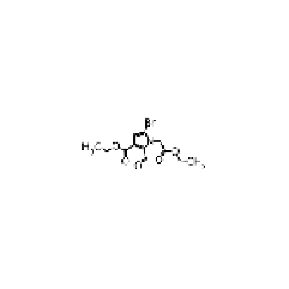 CCOC(=O)Cn1c(Br)cc(C(=O)OCC)c1C=O